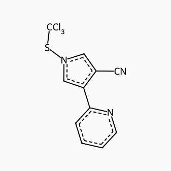 N#Cc1cn(SC(Cl)(Cl)Cl)cc1-c1ccccn1